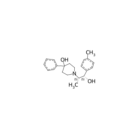 Cc1ccc([C@H](O)[C@H](C)N2CCC(O)(c3ccccc3)CC2)cc1